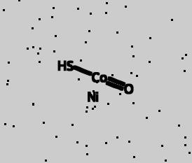 [Ni].[O]=[Co][SH]